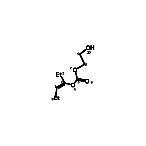 CCC=C(CC)OC(=O)OCCO